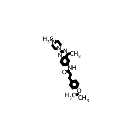 Cc1nc(N2CCN(C)CC2)nc2ccc(NC(=O)CCc3ccc(OC(C)C)cc3)cc12